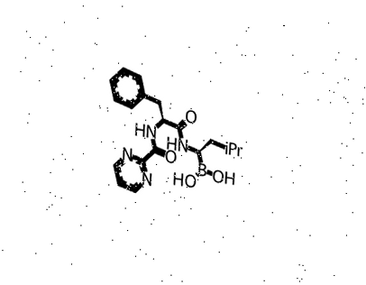 CC(C)C[C@H](NC(=O)[C@H](Cc1ccccc1)NC(=O)c1ncccn1)B(O)O